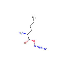 CCCC[C@H](N)C(=O)ON=[N+]=[N-]